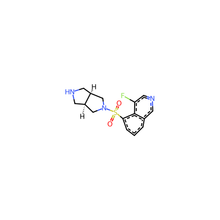 O=S(=O)(c1cccc2cncc(F)c12)N1C[C@H]2CNC[C@H]2C1